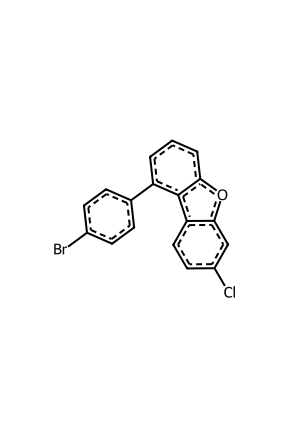 Clc1ccc2c(c1)oc1cccc(-c3ccc(Br)cc3)c12